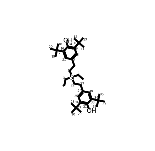 CC[Si](CC)(CCc1cc(C(C)(C)C)c(O)c(C(C)(C)C)c1)CCc1cc(C(C)(C)C)c(O)c(C(C)(C)C)c1